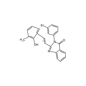 CCc1cccc(-n2c(/C=C/c3cccc(C)c3O)nc3ccccc3c2=O)c1